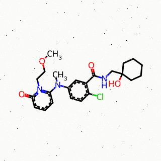 COCCn1c(N(C)c2ccc(Cl)c(C(=O)NCC3(O)CCCCC3)c2)cccc1=O